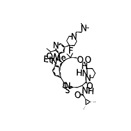 CCn1c(-c2cc(C3(F)CCN(CCN(C)C)CC3)cnc2[C@H](C)OC)c2c3cc(ccc31)-c1csc(n1)C[C@H](NC(=O)[C@H]1[C@H](C)[C@@H]1C)C(=O)N1CCC[C@H](N1)C(=O)OCC(C)(C)C2